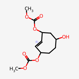 COC(=O)OC1/C=C/C(OC(=O)OC)CC(O)CC1